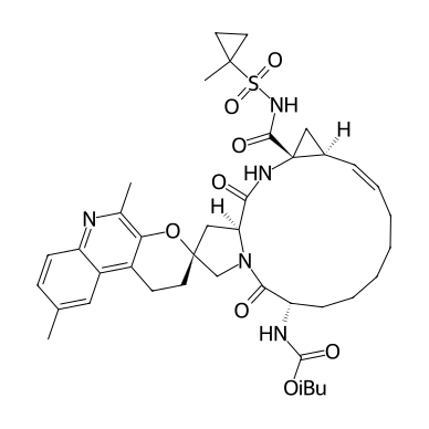 Cc1ccc2nc(C)c3c(c2c1)CC[C@]1(C[C@H]2C(=O)N[C@]4(C(=O)NS(=O)(=O)C5(C)CC5)C[C@H]4/C=C\CCCCC[C@H](NC(=O)OCC(C)C)C(=O)N2C1)O3